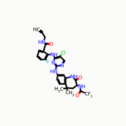 C#CCNC(=O)c1cccc(F)c1Nc1nc(Nc2ccc3c(c2)NC(=O)C(NC(=O)C(F)(F)F)CC3(C)C)ncc1Cl